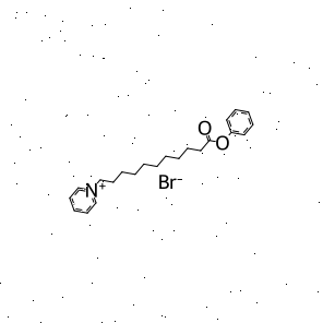 O=C(CCCCCCCCCC[n+]1ccccc1)Oc1ccccc1.[Br-]